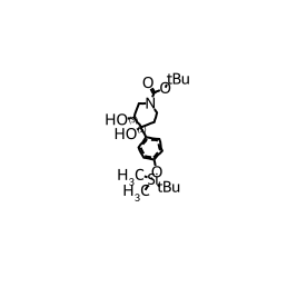 CC(C)(C)OC(=O)N1CC[C@](O)(c2ccc(O[Si](C)(C)C(C)(C)C)cc2)[C@@H](O)C1